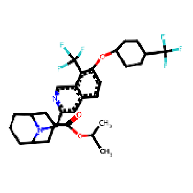 CC(C)OC(=O)C1CC2CCCC(C1)N2Cc1cc2ccc(OC3CCC(C(F)(F)F)CC3)c(C(F)(F)F)c2cn1